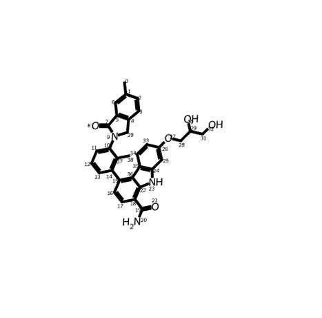 Cc1ccc2c(c1)C(=O)N(c1cccc(-c3ccc(C(N)=O)c4[nH]c5cc(OCC(O)CO)ccc5c34)c1C)C2